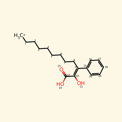 CCCCCCCCCC(=C(O)C(=O)O)c1ccccc1